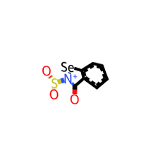 O=C1c2ccccc2[Se][N+]1=S(=O)=O